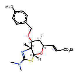 CCOC(=O)/C=C/[C@H]1O[C@@H]2SC(N(C)C)=N[C@@H]2[C@@H](OCc2ccc(OC)cc2)[C@@H]1C